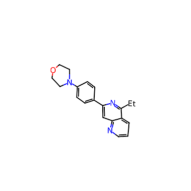 CCc1nc(-c2ccc(N3CCOCC3)cc2)cc2ncccc12